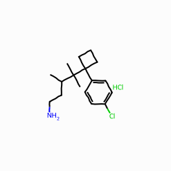 CC(CCN)C(C)(C)C1(c2ccc(Cl)cc2)CCC1.Cl